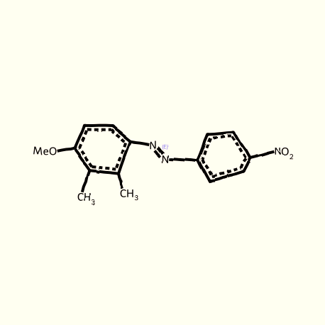 COc1ccc(/N=N/c2ccc([N+](=O)[O-])cc2)c(C)c1C